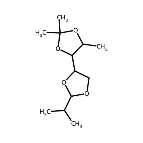 CC(C)C1OCC(C2OC(C)(C)OC2C)O1